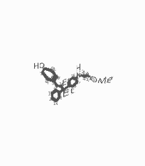 CCC(Cc1ccc(O)cc1)C(CC)(c1ccccc1)c1ccc(NCCOC)cc1